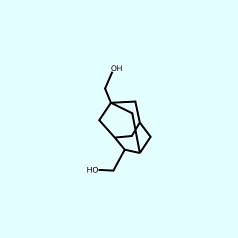 OCC1C2CC3CC1CC(CO)(C3)C2